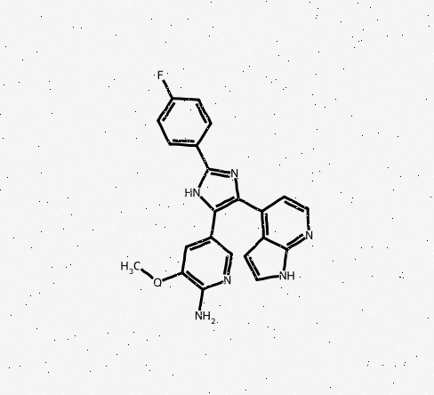 COc1cc(-c2[nH]c(-c3ccc(F)cc3)nc2-c2ccnc3[nH]ccc23)cnc1N